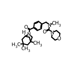 CN(Cc1ccc(C(=O)N2CC3(C)C[C@H]2CC(C)(C)C3)cc1)C(=O)N1CCOCC1